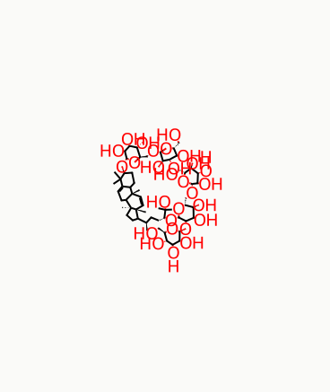 C[C@H](CC[C@@H](O[C@@H]1O[C@H](CO[C@@H]2O[C@H](CO)[C@@H](O)[C@H](O)[C@H]2O)[C@@H](O)[C@H](O)[C@H]1O[C@@H]1O[C@H](CO)[C@@H](O)[C@H](O)[C@H]1O)C(C)(C)O)C1CC[C@@]2(C)C3CC=C4C(CC[C@H](O[C@@H]5O[C@H](CO[C@@H]6O[C@H](CO)[C@@H](O)[C@H](O)[C@H]6O)[C@@H](O)[C@H](O)[C@H]5O)C4(C)C)[C@]3(C)C=C[C@]12C